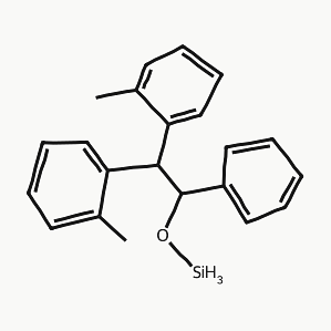 Cc1ccccc1C(c1ccccc1C)C(O[SiH3])c1ccccc1